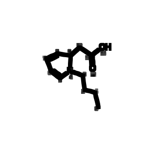 CCCCN1C=CC=CC1CC(=O)O